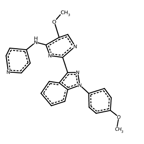 COc1ccc(-n2nc(-c3ncc(OC)c(Nc4ccncc4)n3)c3ccccc32)cc1